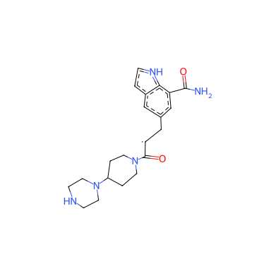 NC(=O)c1cc(C[CH]C(=O)N2CCC(N3CCNCC3)CC2)cc2cc[nH]c12